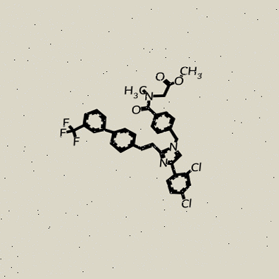 COC(=O)CN(C)C(=O)c1ccc(Cn2cc(-c3ccc(Cl)cc3Cl)nc2/C=C/c2ccc(-c3cccc(C(F)(F)F)c3)cc2)cc1